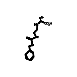 CCC[C@@H](NCCNC(=O)OCc1ccccc1)C(=O)O